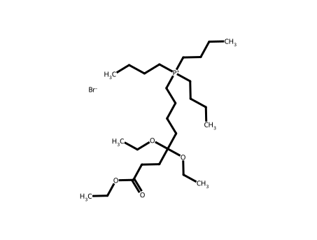 CCCC[P+](CCCC)(CCCC)CCCCC(CCC(=O)OCC)(OCC)OCC.[Br-]